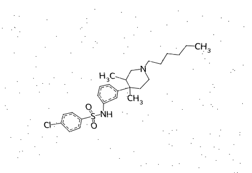 CCCCCCN1CCC(C)(c2cccc(NS(=O)(=O)c3ccc(Cl)cc3)c2)C(C)C1